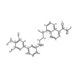 CNC(=O)c1ccnc2c(C(C)CCNc3cc(-c4cc(F)c(OC)c(F)c4)ncn3)cccc12